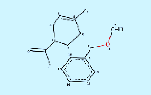 C=C(C)C1CC=C(C)CC1.O=COCc1ccccc1